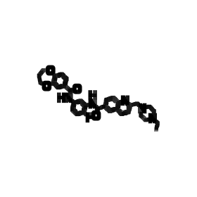 CCN1CCN(Cc2ccc3cc(C(=O)Nc4cc(NC(=O)c5ccc6c(c5)OCCCO6)ccc4F)ccc3n2)CC1